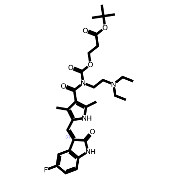 CCN(CC)CCN(C(=O)OCCC(=O)OC(C)(C)C)C(=O)c1c(C)[nH]c(/C=C2\C(=O)Nc3ccc(F)cc32)c1C